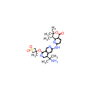 C[C@@H]1c2nc(Nc3cc4c(C(C)(C)N)cnc(OC5(C)CS(=O)(=O)C5)c4cn3)ccc2C(=O)OC1(C)C